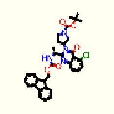 C[C@H](NC(=O)OCC1c2ccccc2-c2ccccc21)c1nc2cccc(Cl)c2c(=O)n1C1CCN(C(=O)OC(C)(C)C)C1